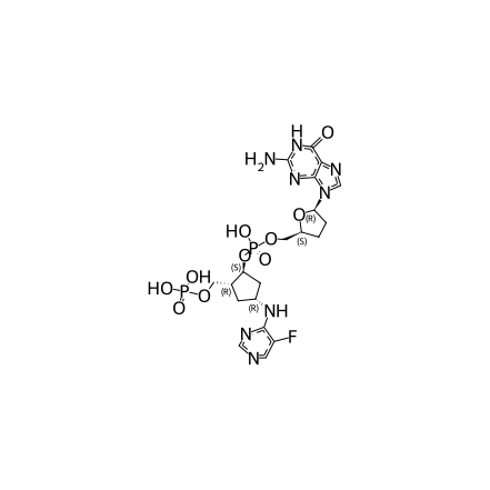 Nc1nc2c(ncn2[C@H]2CC[C@@H](COP(=O)(O)O[C@H]3C[C@H](Nc4ncncc4F)C[C@@H]3COP(=O)(O)O)O2)c(=O)[nH]1